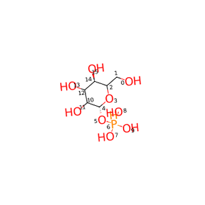 OCC1O[C@H](O[PH](O)(O)O)C(O)C(O)[C@H]1O